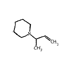 C=CC(C)N1C[CH]CCC1